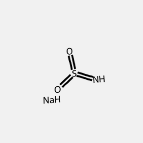 N=S(=O)=O.[NaH]